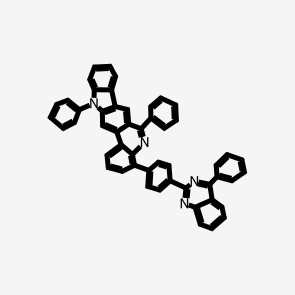 c1ccc(-c2nc(-c3ccc(-c4cccc5c4nc(-c4ccccc4)c4cc6c7ccccc7n(-c7ccccc7)c6cc45)cc3)nc3ccccc23)cc1